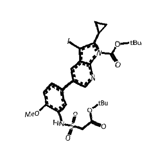 COc1ccc(-c2cnc3c(c2)c(I)c(C2CC2)n3C(=O)OC(C)(C)C)cc1NS(=O)(=O)CC(=O)OC(C)(C)C